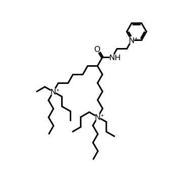 CCCCC[N+](CC)(CCCC)CCCCCC(CCCCC[N+](CCC)(CCCC)CCCCC)C(=O)NCC[n+]1ccccc1